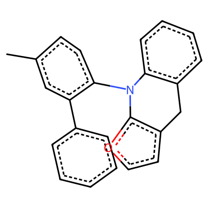 Cc1ccc(N2c3ccccc3Cc3ccoc32)c(-c2ccccc2)c1